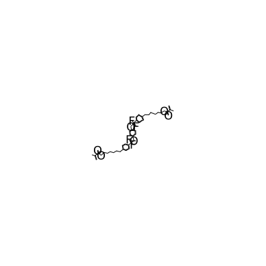 C=C(C)C(=O)OCCCCCCc1ccc(C(F)(F)Oc2ccc(OC(F)(F)c3ccc(CCCCCCOC(=O)C(=C)C)cc3)cc2)cc1